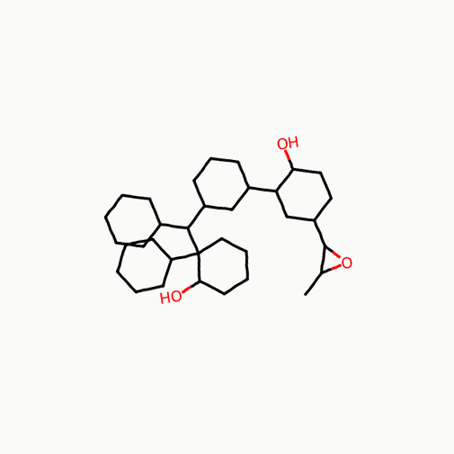 CC1OC1C1CCC(O)C(C2CCCC(C(C3CCCCC3)C3(C4CCCCC4)CCCCC3O)C2)C1